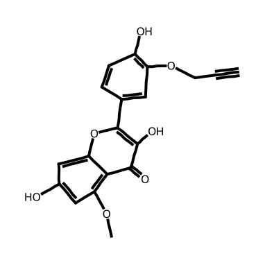 C#CCOc1cc(-c2oc3cc(O)cc(OC)c3c(=O)c2O)ccc1O